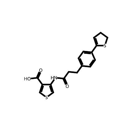 O=C(CCc1ccc(C2=CCCS2)cc1)Nc1cscc1C(=O)O